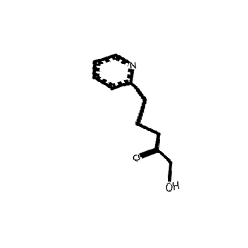 O=C(CO)CCCc1ccccn1